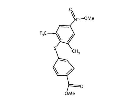 COC(=O)c1ccc(Sc2c(C)cc([N+](=O)OC)cc2C(F)(F)F)cc1